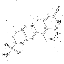 NS(=O)(=O)N1CCc2cc(F)c(-c3ccnc4[nH]c(=O)ccc34)cc2C1